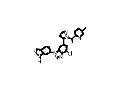 Cc1ccc(C(C)n2nccc2-c2cc(Cl)c3nnn(-c4ccc5cn[nH]c5c4)c3c2)nc1